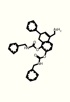 O=C(NCc1ccccc1)Oc1ccc2c(c1OC(=O)NCc1ccccc1)CC(c1ccccc1)C=C2C[AsH2]